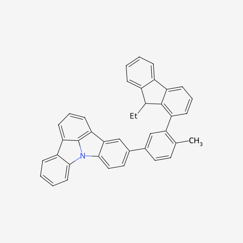 CCC1c2ccccc2-c2cccc(-c3cc(-c4ccc5c(c4)c4cccc6c7ccccc7n5c64)ccc3C)c21